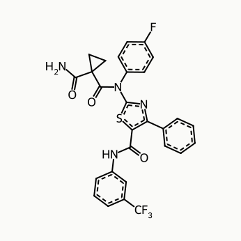 NC(=O)C1(C(=O)N(c2ccc(F)cc2)c2nc(-c3ccccc3)c(C(=O)Nc3cccc(C(F)(F)F)c3)s2)CC1